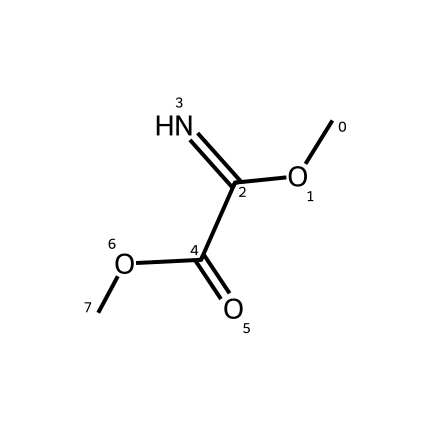 COC(=N)C(=O)OC